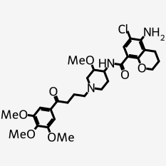 COc1cc(C(=O)CCCN2CCC(NC(=O)c3cc(Cl)c(N)c4c3OCCC4)C(OC)C2)cc(OC)c1OC